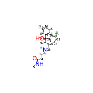 CNC(=O)CCCN1CCC(C(O)(c2cccc(F)c2)c2cccc(F)c2)CC1